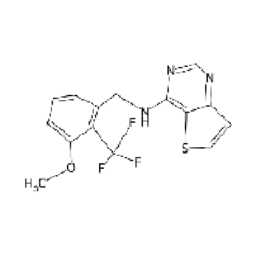 COc1cccc(CNc2ncnc3ccsc23)c1C(F)(F)F